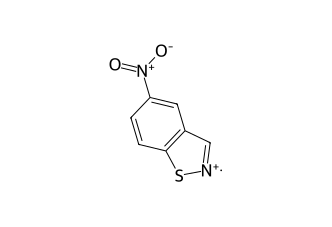 O=[N+]([O-])c1ccc2c(c1)C=[N+]S2